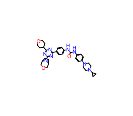 O=C(Nc1ccc(-c2nc(C3CCOCC3)nc(N3C4CCC3COC4)n2)cc1)Nc1ccc(N2CCN(C3CC3)CC2)cc1